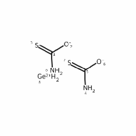 NC([O-])=S.NC([O-])=S.[GeH2+2]